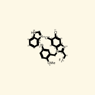 COc1ccc([N+](=O)[O-])cc1Cn1c(CC(F)(F)F)nc2cc(Cl)c(Cl)cc21.c1ccc2[nH]cnc2c1